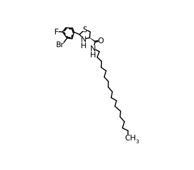 CCCCCCCCCCCCCCCCCCNC(=O)[C@@H]1CSC(c2ccc(F)c(Br)c2)N1